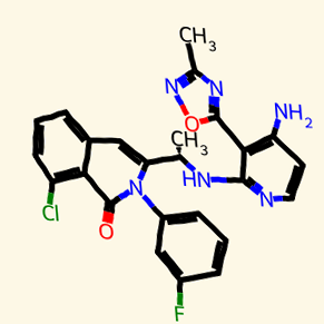 Cc1noc(-c2c(N)ccnc2N[C@@H](C)c2cc3cccc(Cl)c3c(=O)n2-c2cccc(F)c2)n1